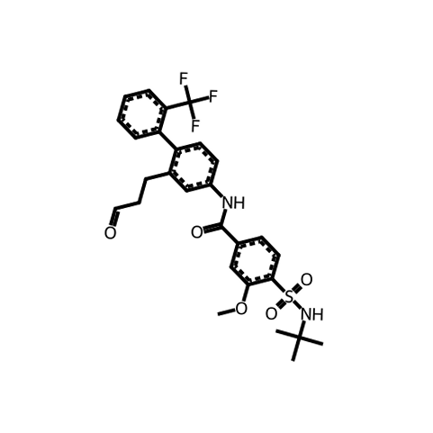 COc1cc(C(=O)Nc2ccc(-c3ccccc3C(F)(F)F)c(CCC=O)c2)ccc1S(=O)(=O)NC(C)(C)C